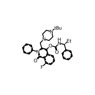 CC[C@H](NC(=O)Oc1c(CN2CCN(C(C)(C)C)CC2)n(-c2ccccc2)c(=O)c2c(F)cccc12)c1ccccc1